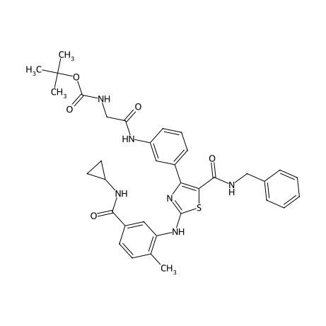 Cc1ccc(C(=O)NC2CC2)cc1Nc1nc(-c2cccc(NC(=O)CNC(=O)OC(C)(C)C)c2)c(C(=O)NCc2ccccc2)s1